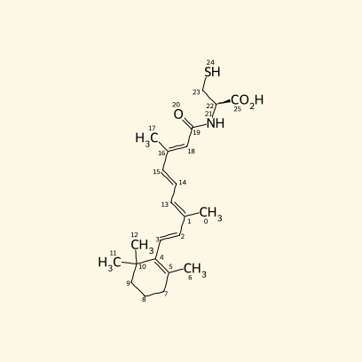 CC(C=CC1=C(C)CCCC1(C)C)=CC=CC(C)=CC(=O)N[C@@H](CS)C(=O)O